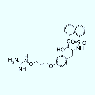 N=C(N)NOCCCOc1ccc(C[C@H](NS(=O)(=O)c2cccc3ccccc23)C(=O)O)cc1